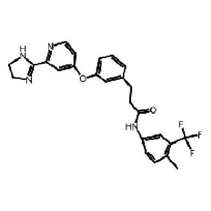 Cc1ccc(NC(=O)CCc2cccc(Oc3ccnc(C4=NCCN4)c3)c2)cc1C(F)(F)F